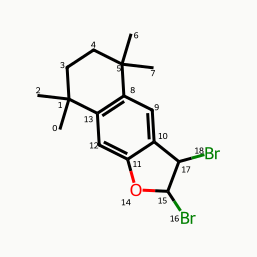 CC1(C)CCC(C)(C)c2cc3c(cc21)OC(Br)C3Br